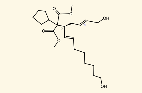 COC(=O)C(C(=O)OC)(C1CCCC1)[C@H](C=CCCCCCCO)C/C=C/CO